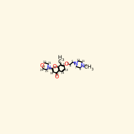 Cc1c(OCCN2CCN(C)CC2)ccc2c(=O)cc(N3CCOCC3)oc12